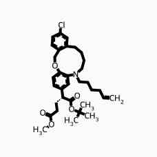 C=CCCCCN1CCCCc2cc(Cl)ccc2COc2ccc([C@@H](CCC(=O)OC)C(=O)OC(C)(C)C)cc21